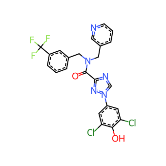 O=C(c1ncn(-c2cc(Cl)c(O)c(Cl)c2)n1)N(Cc1cccnc1)Cc1cccc(C(F)(F)F)c1